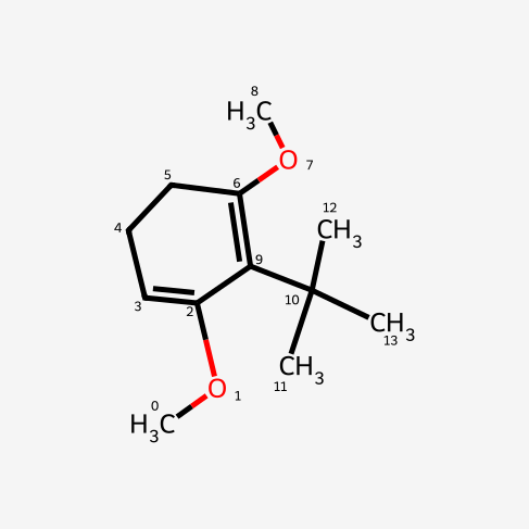 COC1=CCCC(OC)=C1C(C)(C)C